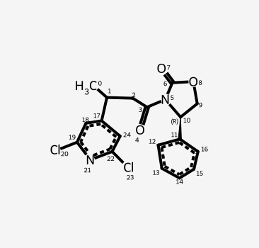 CC(CC(=O)N1C(=O)OC[C@H]1c1ccccc1)c1cc(Cl)nc(Cl)c1